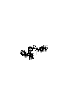 O=C(NCCc1ccc(C(F)(F)F)cc1)[C@@H]1CCCN(c2cc(OC3CCOCC3)nc(C(F)(F)F)n2)C1